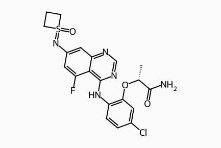 C[C@@H](Oc1cc(Cl)ccc1Nc1ncnc2cc(N=S3(=O)CCC3)cc(F)c12)C(N)=O